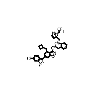 Cn1nc(-c2cc(CC3CCC3)c3c(O[C@H](Cc4ccccc4OCc4ccnn4CC(F)(F)F)C(=O)O)nsc3c2)c2ccc(Cl)cc21